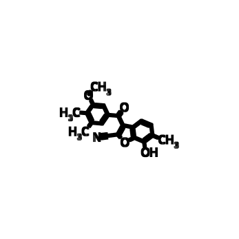 COc1cc(C(=O)c2c(C#N)oc3c(O)c(C)ccc23)cc(C)c1C